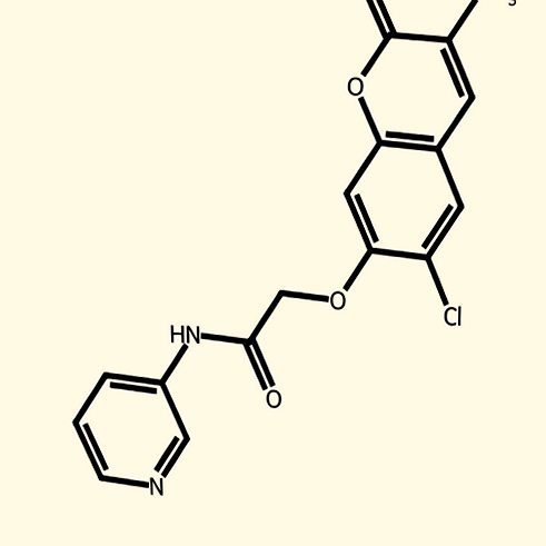 Cc1cc2cc(Cl)c(OCC(=O)Nc3cccnc3)cc2oc1=O